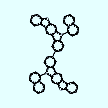 c1ccc2c(-n3c4ccc(-c5ccc6c(c5)c5cc7c(cc5n6-c5cccc6ccccc56)sc5ccccc57)cc4c4cc5c(cc43)sc3ccccc35)cccc2c1